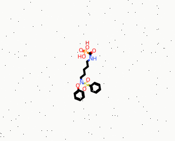 O=C(NCCCCCN(Oc1ccccc1)S(=O)(=O)c1ccccc1)P(=O)(O)O